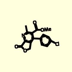 COC(=O)c1c(C)nc2c(c1-c1ccc(Cl)cc1)COC2=O